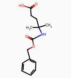 CC(C)(CCC(=O)O)NC(=O)OCc1ccccc1